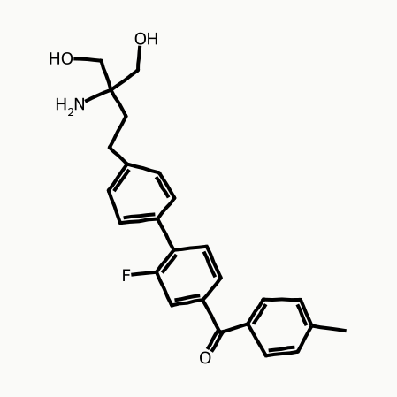 Cc1ccc(C(=O)c2ccc(-c3ccc(CCC(N)(CO)CO)cc3)c(F)c2)cc1